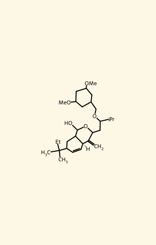 C=C1C(CC(OCC2CC(OC)CC(OC)C2)C(C)C)OC(O)C2CC(C(C)(C)CC)C=C[C@H]12